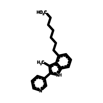 Cc1c(-c2cccnc2)[nH]c2cccc(CCCCCCC(=O)O)c12